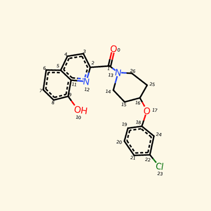 O=C(c1ccc2cccc(O)c2n1)N1CCC(Oc2cccc(Cl)c2)CC1